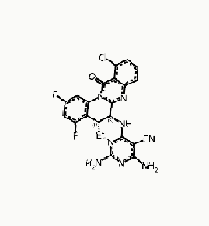 CC[C@@H]1c2c(F)cc(F)cc2-n2c(nc3cccc(Cl)c3c2=O)[C@H]1Nc1nc(N)nc(N)c1C#N